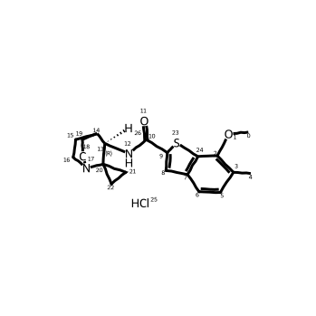 COc1c(C)ccc2cc(C(=O)N[C@@H]3C4CCN(CC4)C34CC4)sc12.Cl